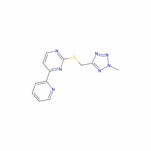 Cn1nnc(CSc2nccc(-c3ccccn3)n2)n1